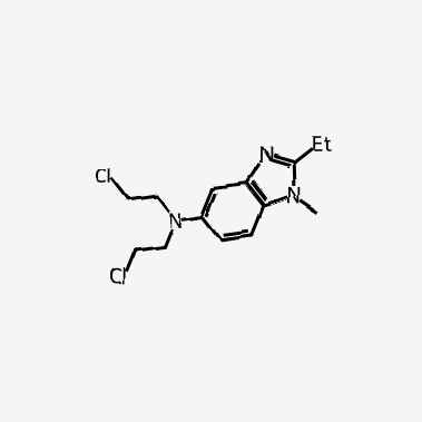 CCc1nc2cc(N(CCCl)CCCl)ccc2n1C